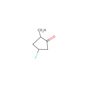 O=C(O)C1CC(F)CC1=O